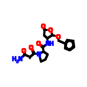 NC(=O)[CH]C(=O)N1CCCC1C(=O)NC1CC(=O)OC1OCc1ccccc1